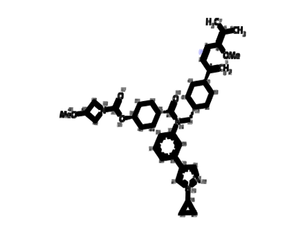 C=C(/C=C\C(OC)=C(C)C)[C@H]1CC[C@H](CN(c2cccc(-c3cnn(C4CC4)c3)c2)C(=O)[C@H]2CC[C@H](OC(=O)N3CC(OC)C3)CC2)CC1